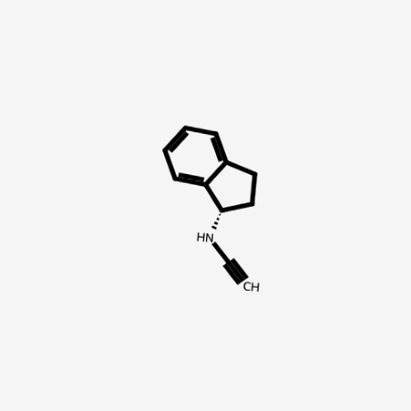 C#CN[C@H]1CCc2ccccc21